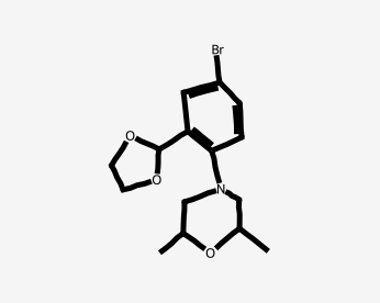 CC1CN(c2ccc(Br)cc2C2OCCO2)CC(C)O1